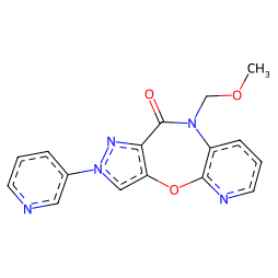 COCN1C(=O)c2nn(-c3cccnc3)cc2Oc2ncccc21